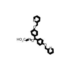 O=C(O)C=NOC(c1ccc(OCc2ccccn2)cc1)c1ccc(OCc2ccccn2)cc1